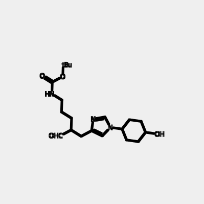 CC(C)(C)OC(=O)NCCCC(C=O)Cc1cn(C2CCC(O)CC2)cn1